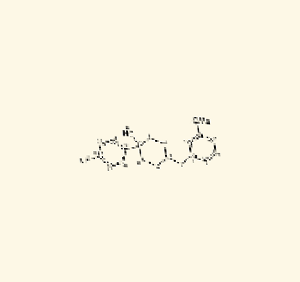 COc1cccc(CN2CCC(O)(c3ccc(Cl)cc3)CC2)c1